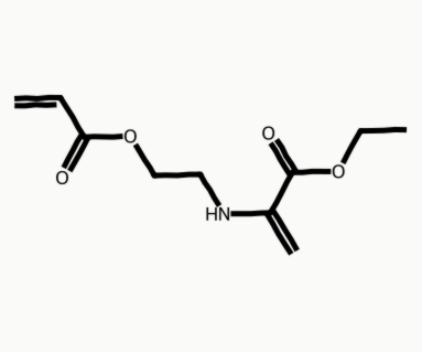 C=CC(=O)OCCNC(=C)C(=O)OCC